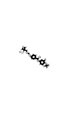 CC1(COCOc2ccc(C(=O)Oc3ccc(OC(F)(F)F)c(F)c3)cc2)COC1